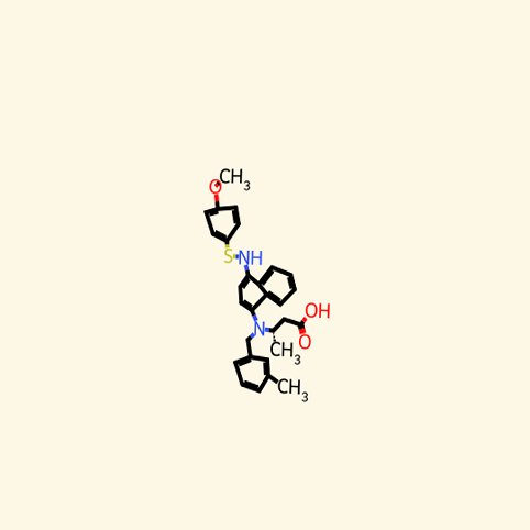 COc1ccc(SNc2ccc(N(Cc3cccc(C)c3)[C@@H](C)CC(=O)O)c3ccccc23)cc1